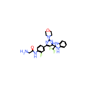 NCC(=O)Nc1ccc(-c2cc(C3(C(F)F)Nc4ccccc4N3)nc(N3CCOCC3)n2)cc1F